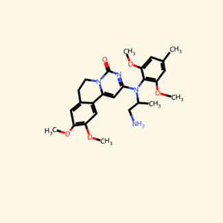 COc1cc2c(cc1OC)-c1cc(N(c3c(OC)cc(C)cc3OC)C(C)CN)nc(=O)n1CC2